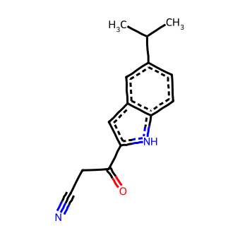 CC(C)c1ccc2[nH]c(C(=O)CC#N)cc2c1